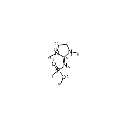 COP(C)(=O)N=C1N(C)CCN1C